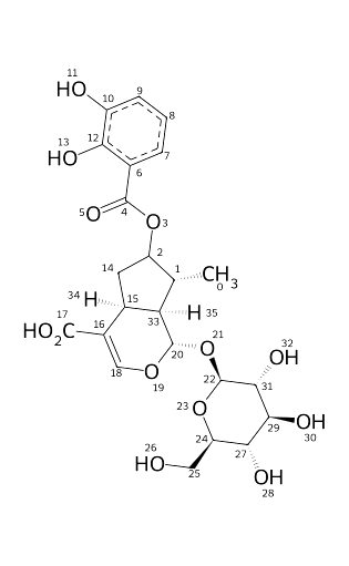 C[C@H]1C(OC(=O)c2cccc(O)c2O)C[C@@H]2C(C(=O)O)=CO[C@@H](O[C@@H]3O[C@H](CO)[C@@H](O)[C@H](O)[C@H]3O)[C@@H]21